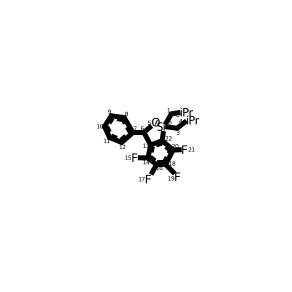 CC(C)C[Si]1(CC(C)C)OC(c2ccccc2)c2c(F)c(F)c(F)c(F)c21